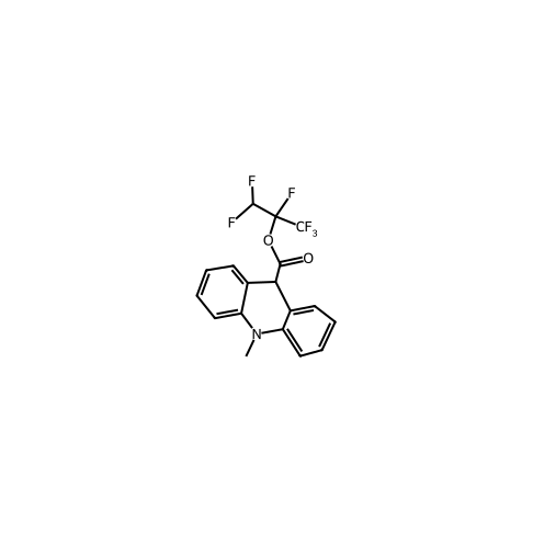 CN1c2ccccc2C(C(=O)OC(F)(C(F)F)C(F)(F)F)c2ccccc21